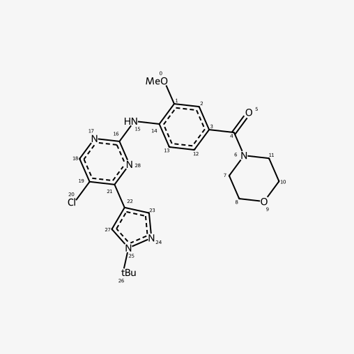 COc1cc(C(=O)N2CCOCC2)ccc1Nc1ncc(Cl)c(-c2cnn(C(C)(C)C)c2)n1